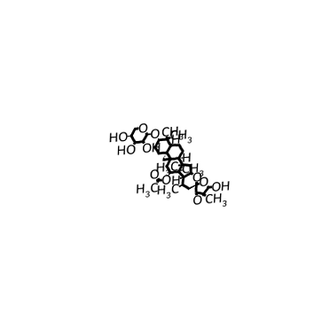 CC(=O)O[C@@H]1CC23C[C@@]24CC[C@H](O[C@@H]2OC[C@@H](O)C(O)C2O)C(C)(C)[C@@H]4CC[C@H]3[C@]2(C)CC3O[C@]4(C[C@@H](C)[C@@H]3[C@@]12C)OC(O)C1(C)OC14